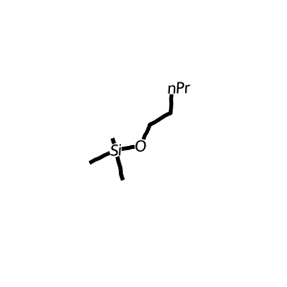 CCCCCO[Si](C)(C)C